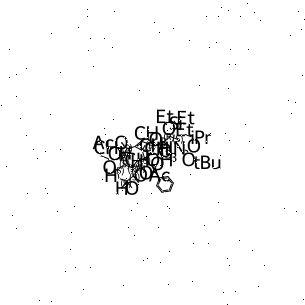 C=CC1O[C@H]2C[C@H]3OC[C@@]3(OC(C)=O)[C@H]3[C@H](OC(=O)c4ccccc4)[C@]4(O)C[C@H](OC(=O)[C@H](O[Si](CC)(CC)CC)[C@H](CC(C)C)NC(=O)OC(C)(C)C)C(C)=C([C@H](OC(C)=O)[C@H](O1)[C@]23C)C4(C)C